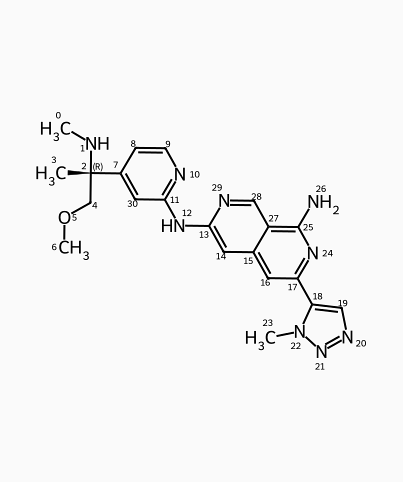 CN[C@@](C)(COC)c1ccnc(Nc2cc3cc(-c4cnnn4C)nc(N)c3cn2)c1